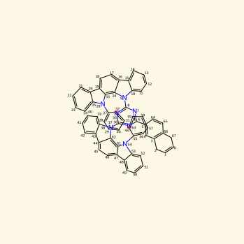 C1=CCc2cc(-c3nc(-n4c5ccccc5c5ccc6c7ccccc7n(-c7ccccc7)c6c54)nc(-n4c5ccccc5c5ccc6c7ccccc7n(-c7ccccc7)c6c54)n3)ccc2C1